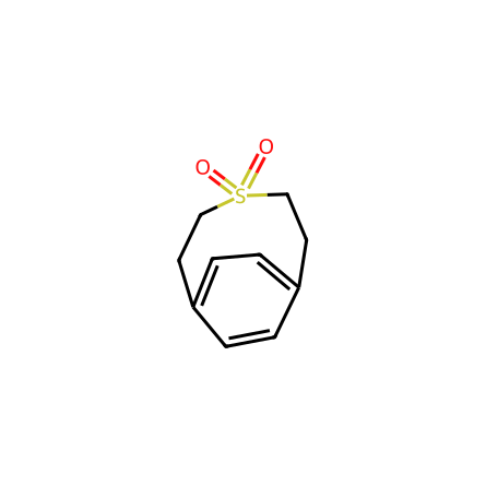 O=S1(=O)CCc2ccc(cc2)CC1